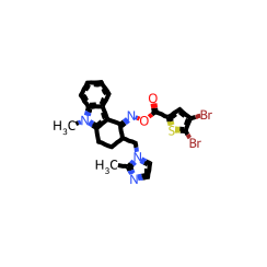 Cc1nccn1CC1CCc2c(c3ccccc3n2C)C1=NOC(=O)c1cc(Br)c(Br)s1